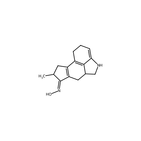 CC1CC2=C(CC3CNC4=CCCC2=C43)C1=NO